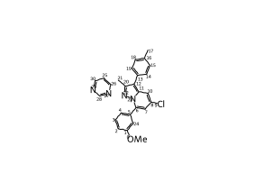 COc1cccc(-c2cc(Cl)cc3c(-c4ccc(C)cc4)c(C)nn23)c1.c1cncnc1